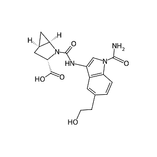 NC(=O)n1cc(NC(=O)N2[C@@H]3C[C@@H]3C[C@H]2C(=O)O)c2cc(CCO)ccc21